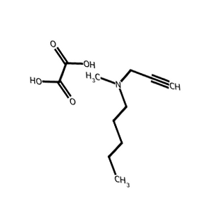 C#CCN(C)CCCCC.O=C(O)C(=O)O